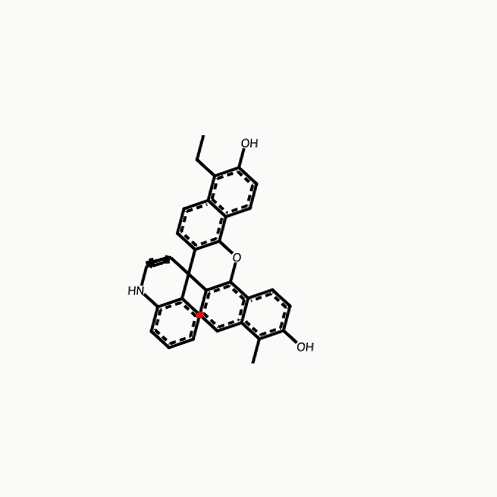 CCc1c(O)ccc2c3c(ccc12)C1(c2ccccc2Nc2ccccc21)c1ccc2c(C)c(O)ccc2c1O3